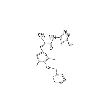 CCc1nnc(NC(=O)C(C#N)=Cc2cc(C)c(OCc3ccccc3)c(C)c2)s1